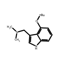 CCCCOc1cccc2[nH]cc(CN(C)C)c12